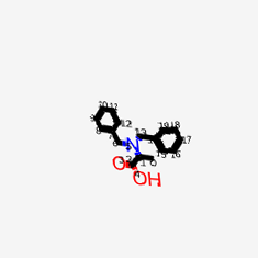 CC(C(=O)O)N(Cc1ccccc1)Cc1ccccc1